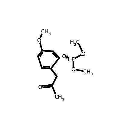 CO[PH](=O)OC.COc1ccc(CC(C)=O)cc1